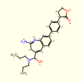 CCCN(CCC)C(O)C1=Cc2ccc(-c3ccc(C4CCOC4=O)cc3)cc2N=C(N)C1